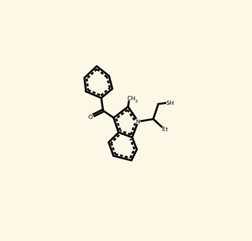 CCC(CS)n1c(C)c(C(=O)c2ccccc2)c2ccccc21